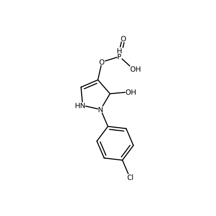 O=[PH](O)OC1=CNN(c2ccc(Cl)cc2)C1O